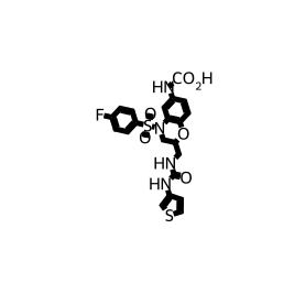 O=C(O)Nc1ccc2c(c1)N(S(=O)(=O)c1ccc(F)cc1)CC(CNC(=O)Nc1ccsc1)O2